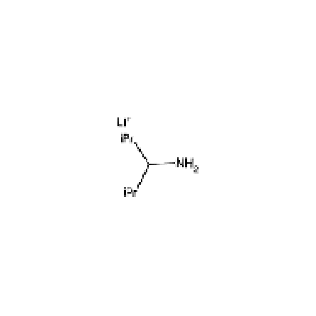 CC(C)C(N)C(C)C.[Li+]